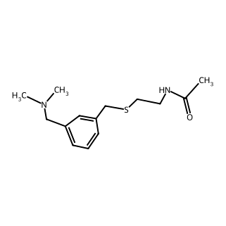 CC(=O)NCCSCc1cccc(CN(C)C)c1